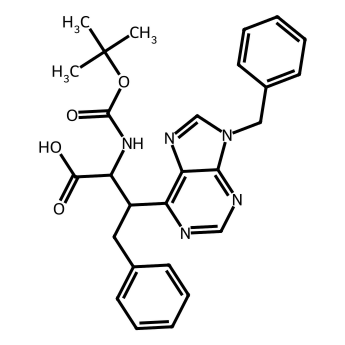 CC(C)(C)OC(=O)NC(C(=O)O)C(Cc1ccccc1)c1ncnc2c1ncn2Cc1ccccc1